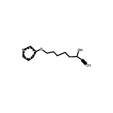 C#CC(O)CCCCCOc1cccnc1